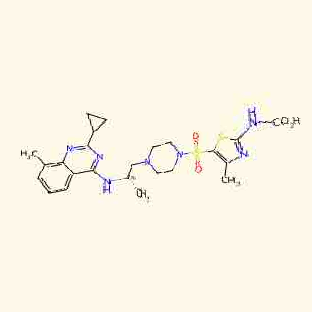 Cc1nc(NC(=O)O)sc1S(=O)(=O)N1CCN(C[C@H](C)Nc2nc(C3CC3)nc3c(C)cccc23)CC1